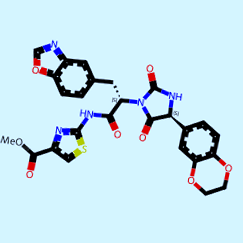 COC(=O)c1csc(NC(=O)[C@H](Cc2ccc3ocnc3c2)N2C(=O)N[C@@H](c3ccc4c(c3)OCCO4)C2=O)n1